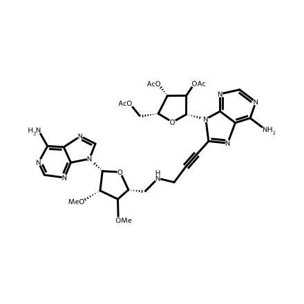 COC1[C@@H](CNCC#Cc2nc3c(N)ncnc3n2[C@@H]2O[C@H](COC(C)=O)[C@H](OC(C)=O)C2OC(C)=O)O[C@@H](n2cnc3c(N)ncnc32)[C@H]1OC